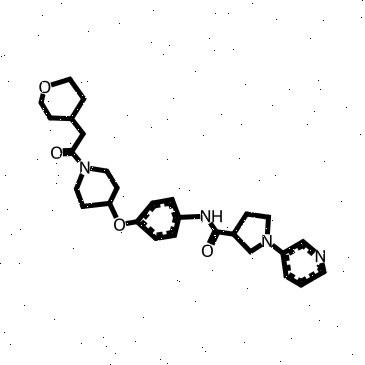 O=C(Nc1ccc(OC2CCN(C(=O)CC3CCOCC3)CC2)cc1)C1CCN(c2cccnc2)C1